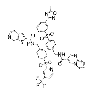 Cc1nc(-c2cccc(S(=O)(=O)c3ccc(CNC(=O)c4cnc5nccn5c4)cc3)c2)no1.O=C(NCc1ccc(S(=O)(=O)c2cc(C(F)(F)F)ccn2)cc1)c1cc2ccncc2s1